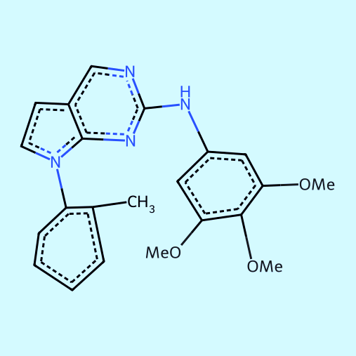 COc1cc(Nc2ncc3ccn(-c4ccccc4C)c3n2)cc(OC)c1OC